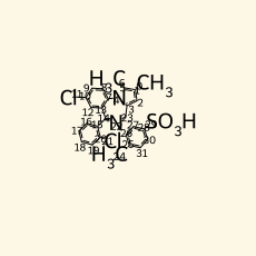 Cc1cc2n(c1C)-c1ccc(Cl)cc1C(c1ccccc1Cl)=NC2.Cc1ccc(S(=O)(=O)O)cc1